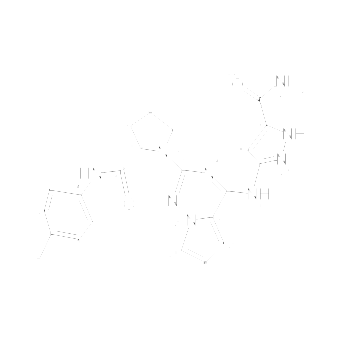 Cc1ccc(NC(=O)[C@@H]2CCCN2c2nc(Nc3cc(C(N)=O)[nH]n3)c3cccn3n2)cc1